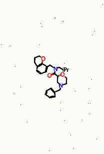 CC(C)CN(Cc1cccc2c1OCCC2)C(=O)C1CN(Cc2ccccc2)CCO1